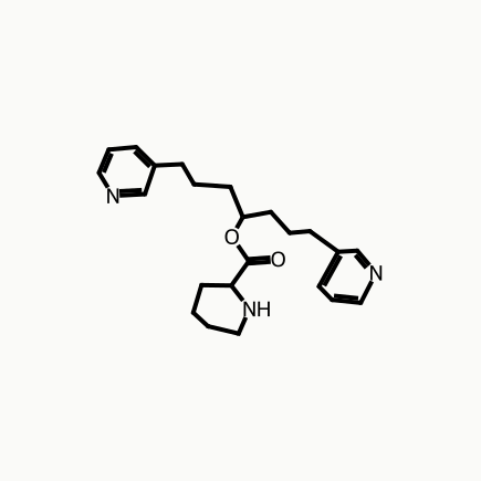 O=C(OC(CCCc1cccnc1)CCCc1cccnc1)C1CCCCN1